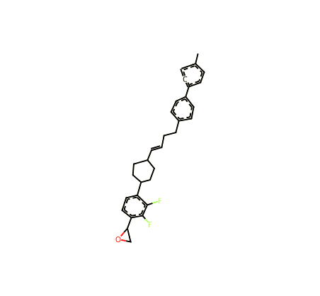 Cc1ccc(-c2ccc(CC/C=C/C3CCC(c4ccc(C5CO5)c(F)c4F)CC3)cc2)cc1